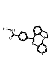 O=C(NO)c1ccc(C2=Nc3cncnc3N3CCc4cccc2c43)cc1